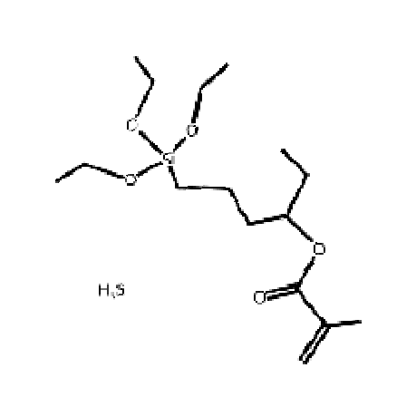 C=C(C)C(=O)OC(CC)CCC[Si](OCC)(OCC)OCC.S